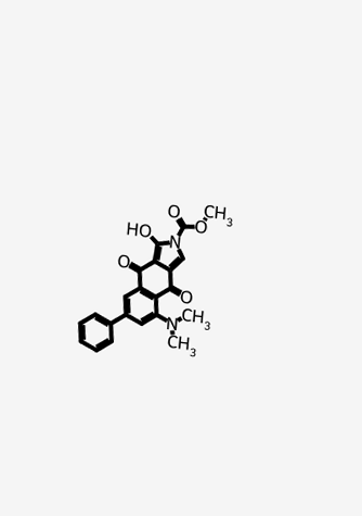 COC(=O)n1cc2c(c1O)C(=O)c1cc(-c3ccccc3)cc(N(C)C)c1C2=O